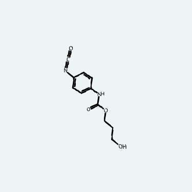 O=C=Nc1ccc(NC(=O)OCCCO)cc1